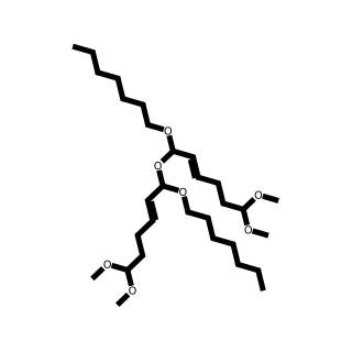 CCCCCCCOC(C=CCCC(OC)OC)OC(C=CCCC(OC)OC)OCCCCCCC